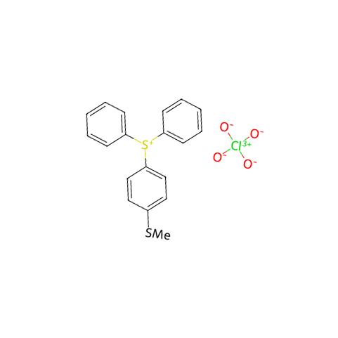 CSc1ccc([S+](c2ccccc2)c2ccccc2)cc1.[O-][Cl+3]([O-])([O-])[O-]